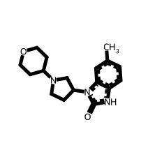 Cc1ccc2[nH]c(=O)n(C3CCN(C4CCOCC4)C3)c2c1